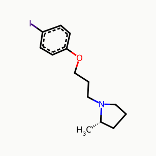 C[C@H]1CCCN1CCCOc1ccc(I)cc1